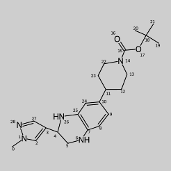 Cn1cc(C2CNc3ccc(C4CCN(C(=O)OC(C)(C)C)CC4)cc3N2)cn1